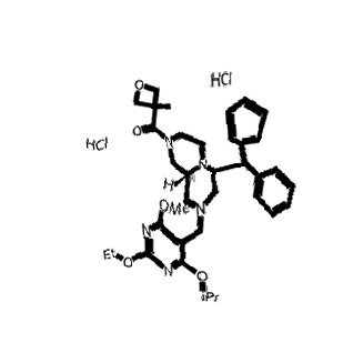 CCOc1nc(OC)c(CN2CC(C(c3ccccc3)c3ccccc3)N3CCN(C(=O)C4(C)COC4)C[C@H]3C2)c(OC(C)C)n1.Cl.Cl